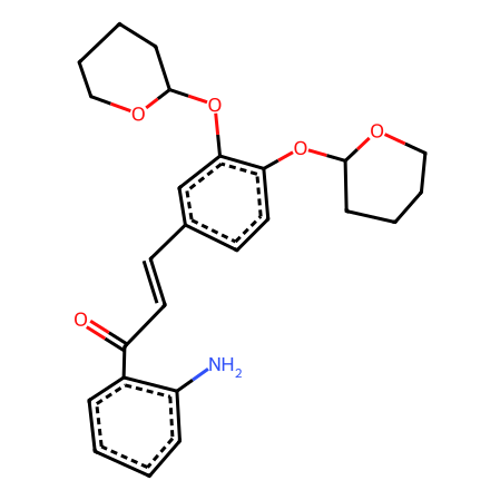 Nc1ccccc1C(=O)/C=C/c1ccc(OC2CCCCO2)c(OC2CCCCO2)c1